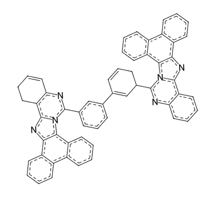 C1=Cc2nc(-c3cccc(C4=CC(c5nc6ccccc6c6nc7c8ccccc8c8ccccc8c7n56)CC=C4)c3)n3c(nc4c5ccccc5c5ccccc5c43)c2CC1